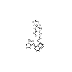 CO[C@@H]1CCC[C@@H]1Oc1cccc2onc(OCC3CCN(CC4(O)CCOCC4)CC3)c12